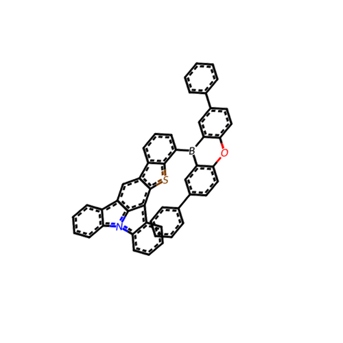 c1ccc(-c2ccc3c(c2)B(c2cccc4c2sc2c4cc4c5ccccc5n5c6ccccc6c2c45)c2cc(-c4ccccc4)ccc2O3)cc1